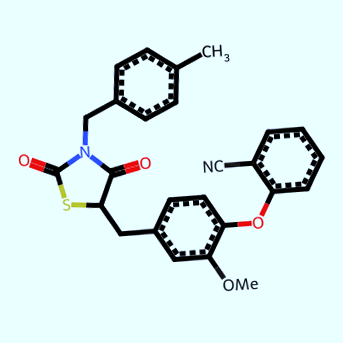 COc1cc(CC2SC(=O)N(Cc3ccc(C)cc3)C2=O)ccc1Oc1ccccc1C#N